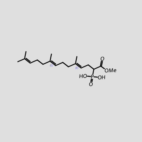 COC(=O)C(C/C=C(\C)CC/C=C(\C)CCC=C(C)C)P(=O)(O)O